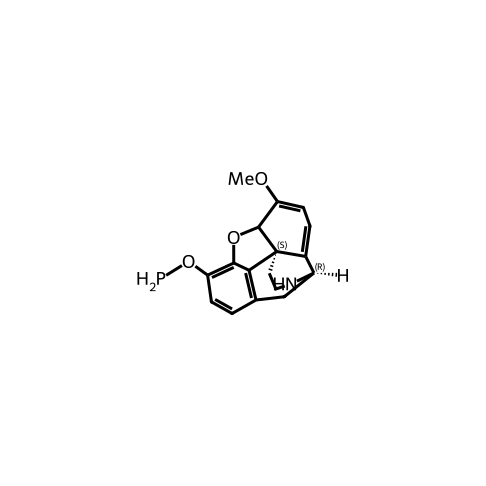 COC1=CC=C2[C@H]3Cc4ccc(OP)c5c4[C@@]2(CCN3)C1O5